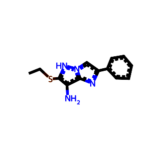 CCSc1[nH]n2cc(-c3ccccc3)nc2c1N